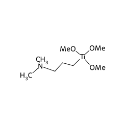 C[O][Ti]([CH2]CCN(C)C)([O]C)[O]C